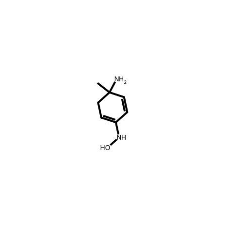 CC1(N)C=CC(NO)=CC1